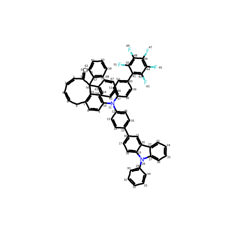 C=C1/C=C\C=C/Cc2ccc(N(c3ccc(-c4ccc5c(c4)c4ccccc4n5-c4ccccc4)cc3)c3ccc(-c4c(F)c(F)c(F)c(F)c4F)cc3)cc2C1(c1ccccc1)c1ccccc1